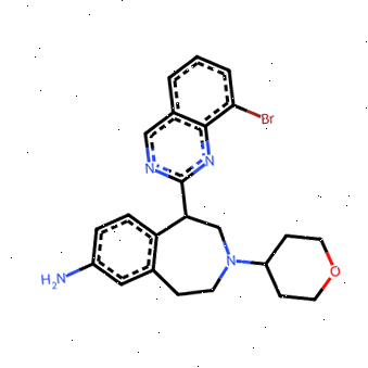 Nc1ccc2c(c1)CCN(C1CCOCC1)CC2c1ncc2cccc(Br)c2n1